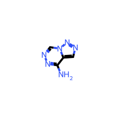 Nc1nncn2nncc12